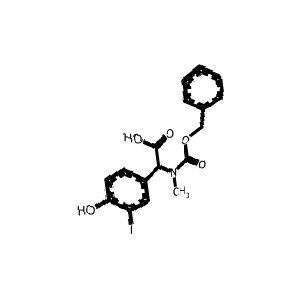 CN(C(=O)OCc1ccccc1)C(C(=O)O)c1ccc(O)c(I)c1